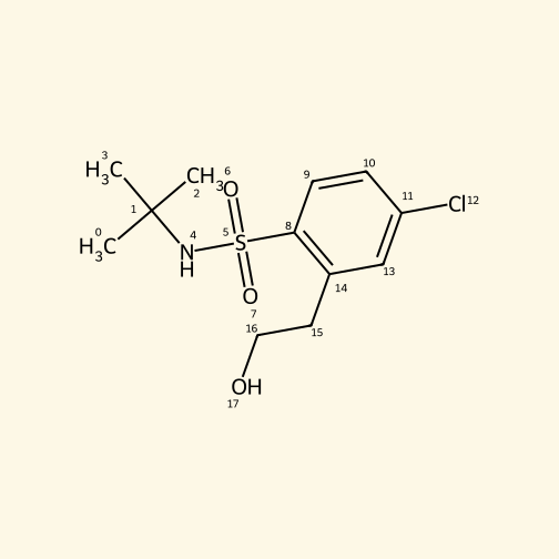 CC(C)(C)NS(=O)(=O)c1ccc(Cl)cc1CCO